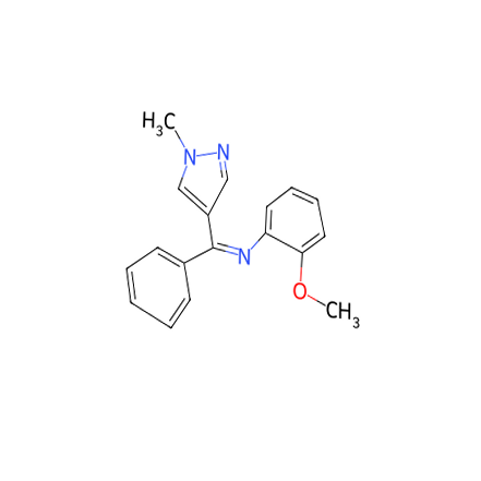 COc1ccccc1N=C(c1ccccc1)c1cnn(C)c1